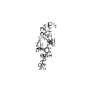 Cc1cc(F)c(C(=O)NC2C/C=C/CCC(=O)Nc3cc(NC(=O)OCC4CCCO4)ccc3-c3nc2[nH]c3Cl)c(F)c1